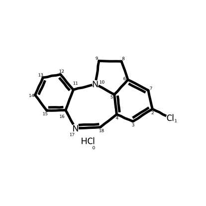 Cl.Clc1cc2c3c(c1)CCN3c1ccccc1N=C2